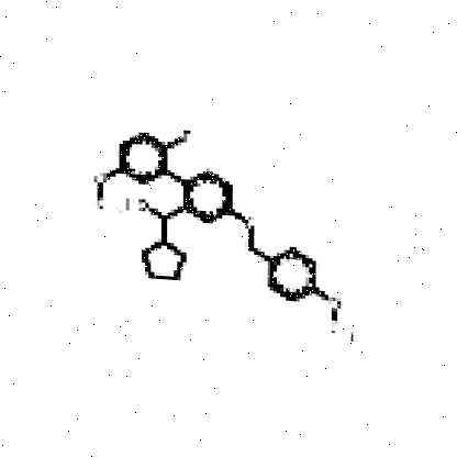 COc1ccc(COc2ccc(-c3cc(OC)ccc3F)c(C(O)C3CCCC3)c2)cc1